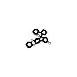 OC1(c2ccccc2-c2ccccc2)c2ccc(Cl)cc2-c2cc3c(cc21)Oc1ccccc1O3